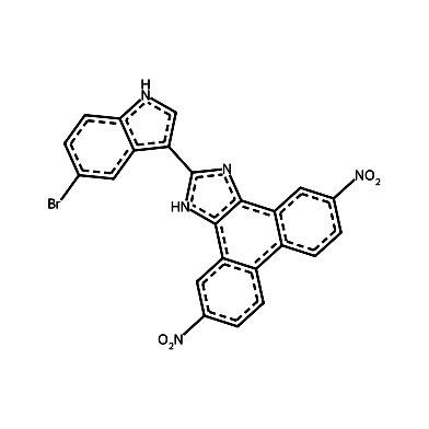 O=[N+]([O-])c1ccc2c3ccc([N+](=O)[O-])cc3c3[nH]c(-c4c[nH]c5ccc(Br)cc45)nc3c2c1